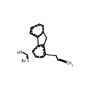 C=CCc1cccc2c1Cc1ccccc1-2.S=CS.[Au]